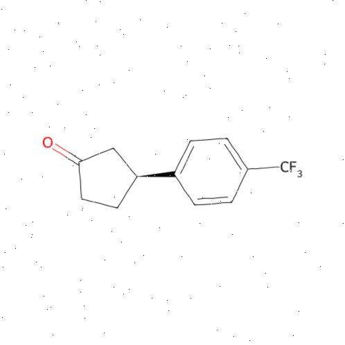 O=C1CC[C@H](c2ccc(C(F)(F)F)cc2)C1